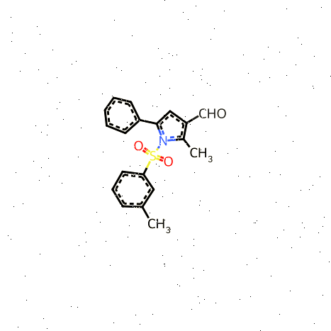 Cc1cccc(S(=O)(=O)n2c(-c3ccccc3)cc(C=O)c2C)c1